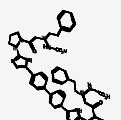 O=C(O)N[C@H](CCc1ccccc1)CC(=O)N1CCC[C@H]1c1ncc(-c2ccc(-c3ccc(-c4cnc([C@@H]5CCCN5C(=O)C[C@@H](CCc5ccccc5)NC(=O)O)[nH]4)cc3)cc2)[nH]1